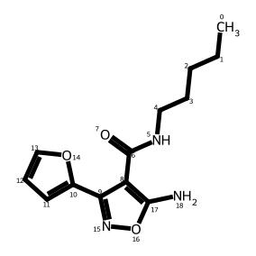 CCCCCNC(=O)c1c(-c2ccco2)noc1N